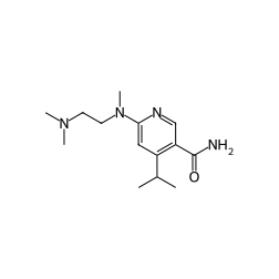 CC(C)c1cc(N(C)CCN(C)C)ncc1C(N)=O